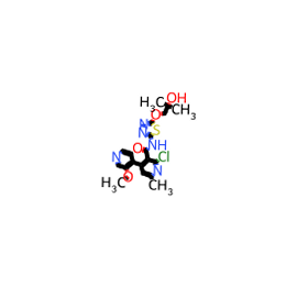 COc1cnccc1-c1cc(C)nc(Cl)c1C(=O)Nc1nnc(OCC(C)(C)O)s1